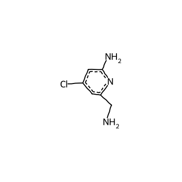 NCc1cc(Cl)cc(N)n1